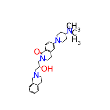 CN(C)C1CCN(c2ccc3c(c2)CCN(CC(O)CN2CCc4ccccc4C2)C3=O)CC1